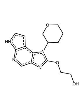 OCCOc1nc2cnc3[nH]ccc3c2n1C1CCCOC1